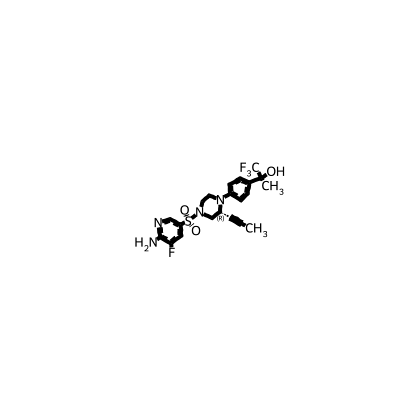 CC#C[C@@H]1CN(S(=O)(=O)c2cnc(N)c(F)c2)CCN1c1ccc(C(C)(O)C(F)(F)F)cc1